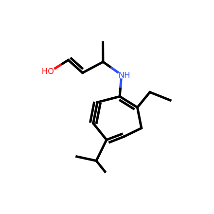 CCC1=C(NC(C)C=CO)C#CC(C(C)C)=CC1